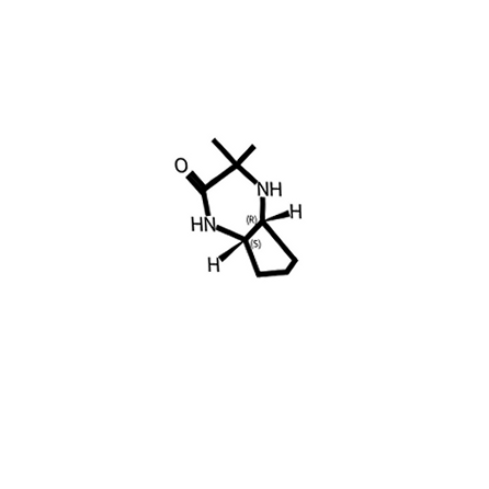 CC1(C)N[C@@H]2CCC[C@@H]2NC1=O